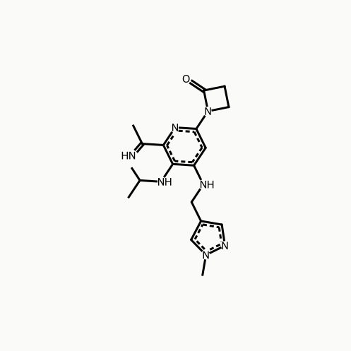 CC(=N)c1nc(N2CCC2=O)cc(NCc2cnn(C)c2)c1NC(C)C